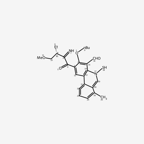 CCCCOc1c(C(=O)C(=N)[C@@H](CC)COC)cc2c(c1C=O)N(S)C=C1C2=C=CC=C1C